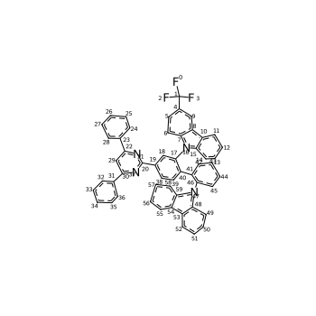 FC(F)(F)c1ccc2c(c1)c1ccccc1n2-c1cc(-c2nc(-c3ccccc3)cc(-c3ccccc3)n2)ccc1-c1ccccc1-n1c2ccccc2c2ccccc21